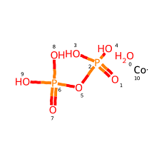 O.O=P(O)(O)OP(=O)(O)O.[Co]